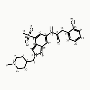 CN1CCC(Cn2cc3c(S(C)(=O)=O)cc(NC(=O)Cc4ccccc4Cl)cc3n2)CC1